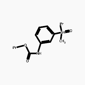 CC(C)OC(=O)Nc1cccc([SH](C)(=O)C(C)C)c1